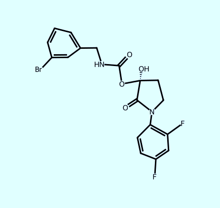 O=C(NCc1cccc(Br)c1)O[C@@]1(O)CCN(c2ccc(F)cc2F)C1=O